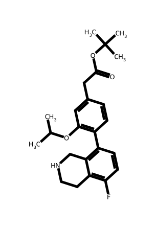 CC(C)Oc1cc(CC(=O)OC(C)(C)C)ccc1-c1ccc(F)c2c1CNCC2